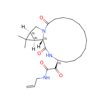 C=CCNC(=O)C(=O)[C@@H]1CCCCCCCCCCC(=O)N2C[C@H]3[C@@H]([C@H]2C(=O)N1)C3(C)C